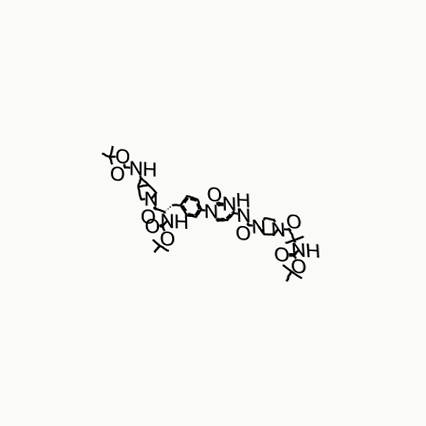 CC(C)(C)OC(=O)NC1C2CN(C(=O)[C@H](Cc3ccc(-n4ccc(NC(=O)N5CCN(C(=O)C(C)(C)NC(=O)OC(C)(C)C)CC5)nc4=O)cc3)NC(=O)OC(C)(C)C)CC21